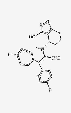 CN([C@H]1CCCc2onc(O)c21)[C@@H](C=O)C(c1ccc(F)cc1)c1ccc(F)cc1